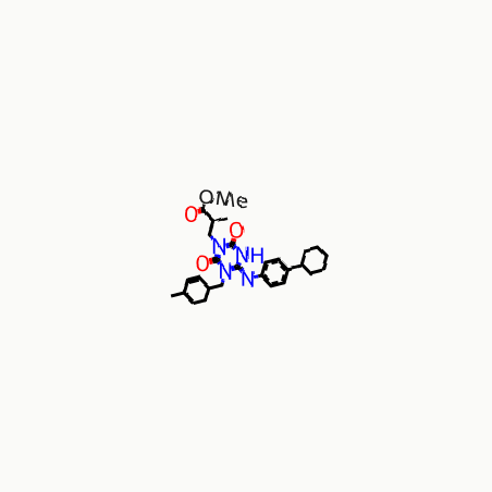 COC(=O)[C@@H](C)Cn1c(=O)[nH]/c(=N\c2ccc(C3CCCCC3)cc2)n(CC2C=CC(C)=CC2)c1=O